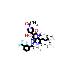 CC(=O)N1CCC(O)(c2cc3c(NC(C)c4cccc(C(F)F)c4F)nc(C)c(CCC(C)C)c3n(C)c2=O)CC1